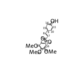 COc1cc(S(=O)(=O)C=Cc2ccc(O)cc2)cc(OC)c1OC